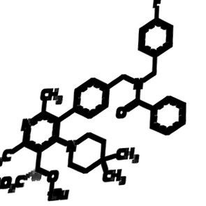 CCOC(=O)[C@@H](OC(C)(C)C)c1c(C)nc(C)c(-c2ccc(CN(Cc3ccc(F)cc3)C(=O)c3ccccc3)cc2)c1N1CCC(C)(C)CC1